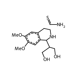 COc1cc2c(cc1OC)C(C(CO)CO)NCC2.NC=S